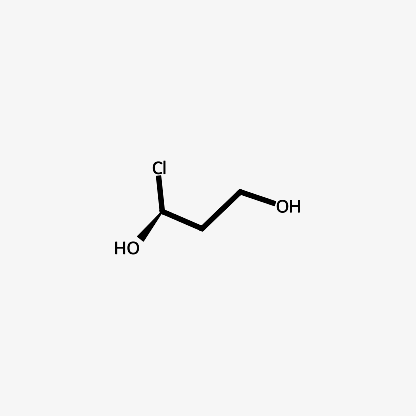 OCC[C@@H](O)Cl